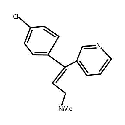 CNCC=C(c1ccc(Cl)cc1)c1cccnc1